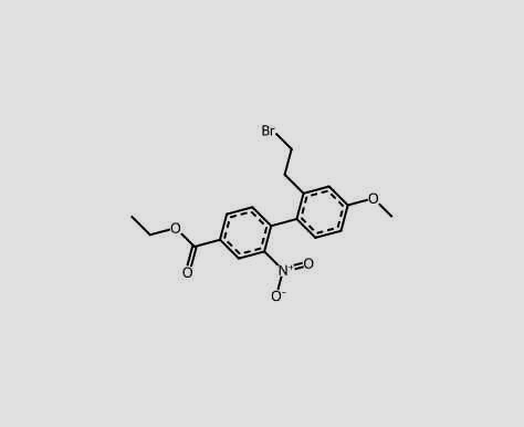 CCOC(=O)c1ccc(-c2ccc(OC)cc2CCBr)c([N+](=O)[O-])c1